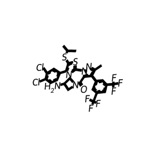 Cc1nn(-c2nc(-c3ccc(Cl)c(Cl)c3)c(SC(C)C)s2)c(C(=O)N2CC(N)C2)c1-c1cc(C(F)(F)F)cc(C(F)(F)F)c1